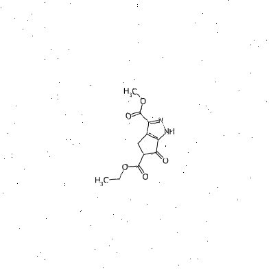 CCOC(=O)C1Cc2c(C(=O)OC)n[nH]c2C1=O